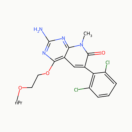 CCCOCCOc1nc(N)nc2c1cc(-c1c(Cl)cccc1Cl)c(=O)n2C